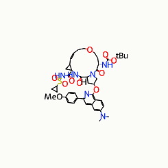 COc1ccc(-c2cc3cc(N(C)C)ccc3c(OC3C[C@H]4C(=O)N[C@]5(C(=O)NS(=O)(=O)C6CC6)CC5/C=C\CCOCC[C@H](NC(=O)OC(C)(C)C)C(=O)N4C3)n2)cc1